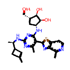 Cc1nc(N[C@H](C)C2CC(C)C2)nc(N[C@@H]2C[C@H](CO)[C@@H](O)[C@H]2O)c1-c1nc2c(C)nccc2s1